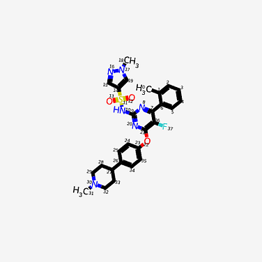 Cc1ccccc1-c1nc(NS(=O)(=O)c2cnn(C)c2)nc(Oc2ccc(C3CCN(C)CC3)cc2)c1F